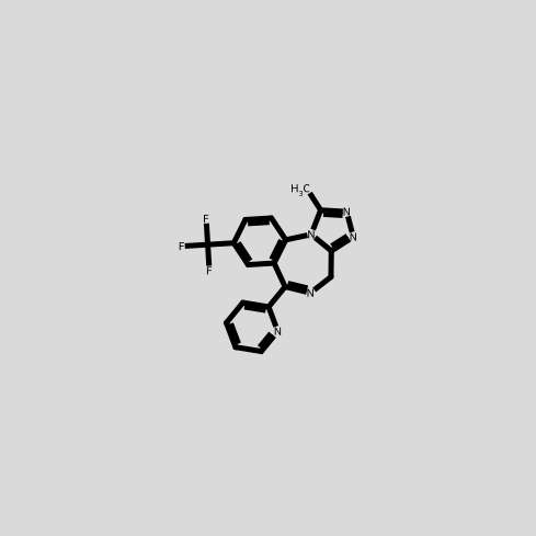 Cc1nnc2n1-c1ccc(C(F)(F)F)cc1C(c1ccccn1)=NC2